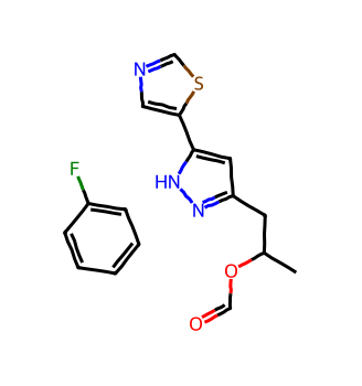 CC(Cc1cc(-c2cncs2)[nH]n1)OC=O.Fc1ccccc1